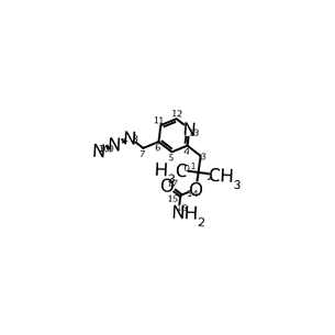 CC(C)(Cc1cc(CN=[N+]=[N-])ccn1)OC(N)=O